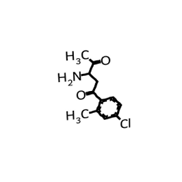 CC(=O)C(N)CC(=O)c1ccc(Cl)cc1C